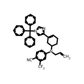 C=CCN(c1ccc(C#N)c(C(F)(F)F)c1)C1CCC=C(c2cn(C(c3ccccc3)(c3ccccc3)c3ccccc3)cn2)C1